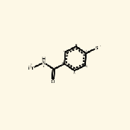 CC(C)NC(=O)c1ccc([S])cc1